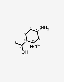 CC(O)[C@H]1CC[C@H](N)CC1.Cl